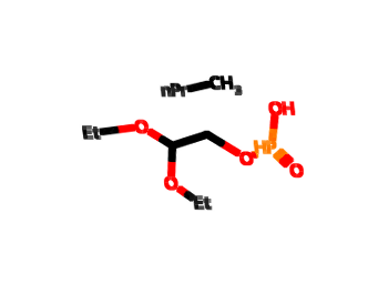 CCCC.CCOC(CO[PH](=O)O)OCC